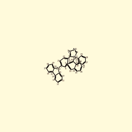 C1=NN=C(c2ccc(-n3c4ccccc4c4ccccc43)cc2)[N+]1(c1ccccc1)c1cccc2cccnc12